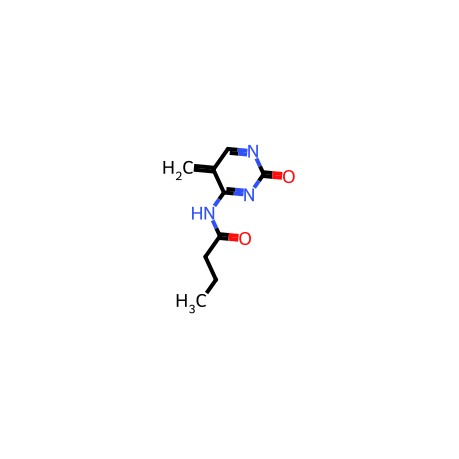 C=C1C=NC(=O)N=C1NC(=O)CCC